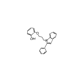 Oc1ccccc1OCCCn1c(-c2ccccc2)cc2ccccc21